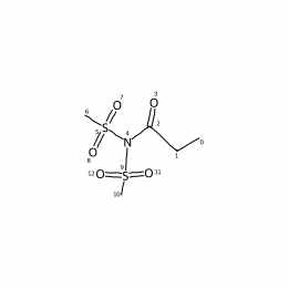 CCC(=O)N(S(C)(=O)=O)S(C)(=O)=O